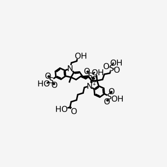 CC1(CCCS(=O)(=O)O)C(/C=C/C=C2/N(CCO)c3ccc(S(=O)(=O)O)cc3C2(C)CCCS(=O)(=O)O)=[N+](CCCCCC(=O)O)c2ccc(S(=O)(=O)O)cc21